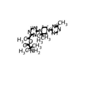 Cc1ncnc(N2CCN(c3ncnc(C(C)OC(=O)C(C)(C)N)n3)C(C)(C)C2)n1